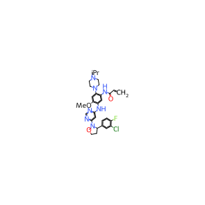 C=CC(=O)Nc1cc(Nc2cc(N3OCCC3c3ccc(F)c(Cl)c3)ncn2)c(OC)cc1N1CCN(C(C)C)CC1